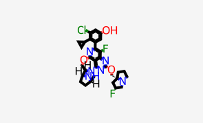 Oc1cc(Cl)c(C2CC2)c(-c2nc3c4c(nc(OC[C@]56CCCN5C[C@H](F)C6)nc4c2F)N2C[C@@H]4CC[C@@H](N4)[C@H]2CO3)c1